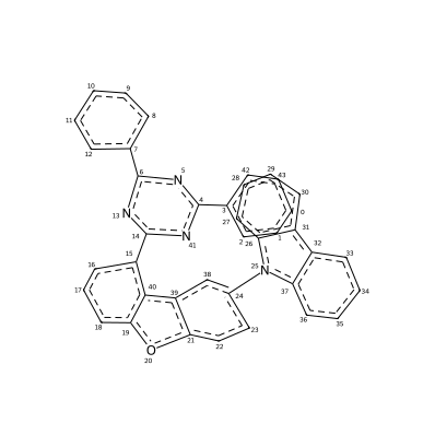 c1ccc(-c2nc(-c3ccccc3)nc(-c3cccc4oc5ccc(-n6c7ccccc7c7ccccc76)cc5c34)n2)cc1